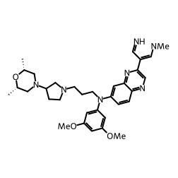 CN/C=C(\C=N)c1cnc2ccc(N(CCCN3CCC(N4C[C@@H](C)O[C@@H](C)C4)C3)c3cc(OC)cc(OC)c3)cc2n1